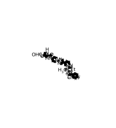 CCc1nc2ccc(-c3cnc(N4CCC(NC(=O)[C@@H]5C[C@@H](OC=O)CN5)CC4)nc3)cn2c1N(C)c1nc(-c2ccc(F)cc2)c(C#N)s1